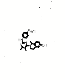 Cc1nc(Nc2ccc(F)cc2)nc(N2CCc3cc(O)ccc3C2C)c1C.Cl